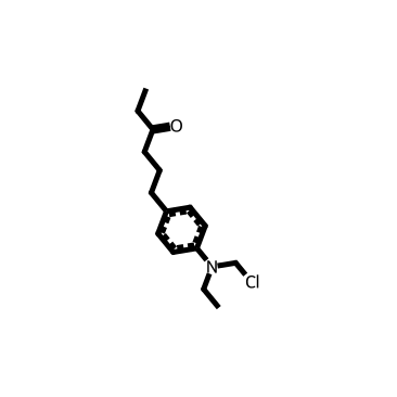 CCC(=O)CCCc1ccc(N(CC)CCl)cc1